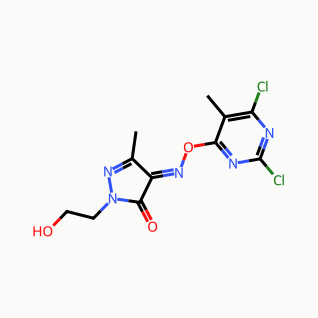 CC1=NN(CCO)C(=O)C1=NOc1nc(Cl)nc(Cl)c1C